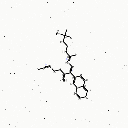 C/B=C/CCC(=N)/C(=C\N=C(/C)NCCC(C)(C)CC)C1=CN2N=CCC=C2C=C1